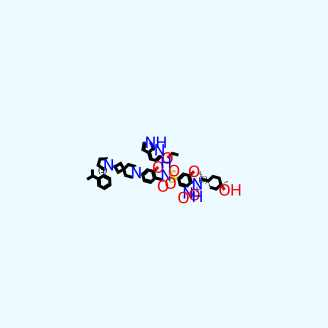 CCOc1nc2[nH]ccc2cc1Oc1cc(N2CCC3(CC2)CC(N2CCC[C@H]2c2ccccc2C(C)C)C3)ccc1C(=O)NS(=O)(=O)c1cc2c(c([N+](=O)[O-])c1)N[C@@H]([C@H]1CC[C@](C)(O)CC1)CO2